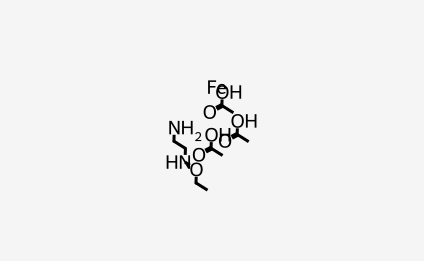 CC(=O)O.CC(=O)O.CC(=O)O.CCONCCN.[Fe]